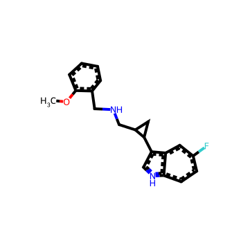 COc1ccccc1CNCC1CC1c1c[nH]c2ccc(F)cc12